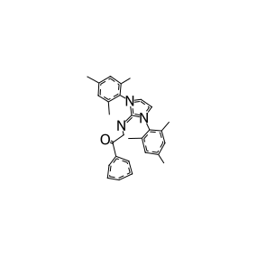 Cc1cc(C)c(-n2ccn(-c3c(C)cc(C)cc3C)c2=NCC(=O)c2ccccc2)c(C)c1